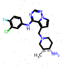 C[C@@H]1CN(Cc2ccn3ncnc(Nc4ccc(F)c(Cl)c4)c23)CC[C@@H]1N